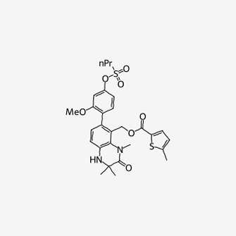 CCCS(=O)(=O)Oc1ccc(-c2ccc3c(c2COC(=O)c2ccc(C)s2)N(C)C(=O)C(C)(C)N3)c(OC)c1